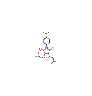 CC(C)=CC1OC(C=C(C)C)C2C(=O)N(c3ccc(C(C)C)cc3)C(=O)C12